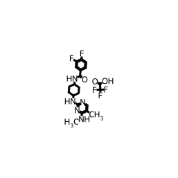 CNc1nc(NC2CCC(NC(=O)c3ccc(F)c(F)c3)CC2)ncc1C.O=C(O)C(F)(F)F